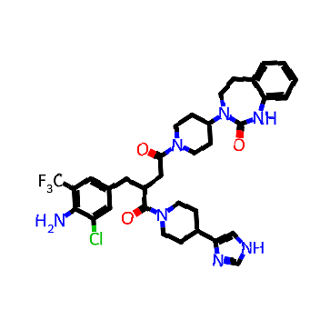 Nc1c(Cl)cc(CC(CC(=O)N2CCC(N3CCc4ccccc4NC3=O)CC2)C(=O)N2CCC(c3c[nH]cn3)CC2)cc1C(F)(F)F